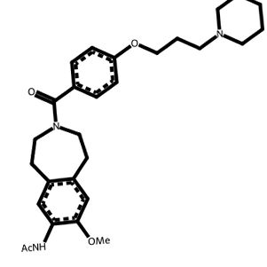 COc1cc2c(cc1NC(C)=O)CCN(C(=O)c1ccc(OCCCN3CCCCC3)cc1)CC2